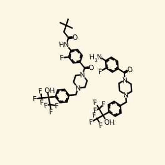 CC(C)(C)CC(=O)Nc1ccc(C(=O)N2CCN(Cc3ccc(C(O)(C(F)(F)F)C(F)(F)F)cc3)CC2)cc1F.Nc1ccc(C(=O)N2CCN(Cc3ccc(C(O)(C(F)(F)F)C(F)(F)F)cc3)CC2)cc1F